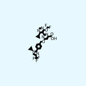 O=C(O)c1cc(OCc2ccc(-c3nc(C(F)(F)F)cn3C3CC3)cc2)nc(-c2c(OC(F)F)ncnc2C2CC2)n1